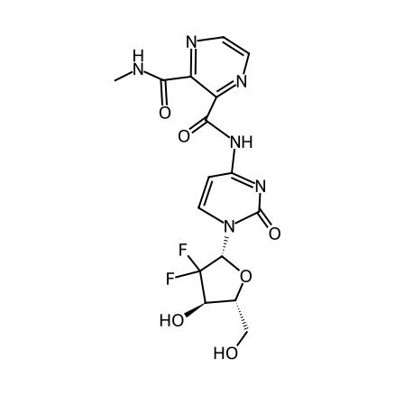 CNC(=O)c1nccnc1C(=O)Nc1ccn([C@@H]2O[C@H](CO)[C@@H](O)C2(F)F)c(=O)n1